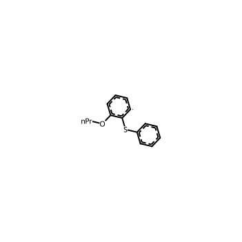 CCCOc1ccc[c]c1Sc1ccccc1